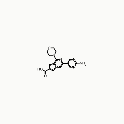 Nc1ncc(-c2cn3cc(C(=O)O)cc3c(N3CCOCC3)n2)cn1